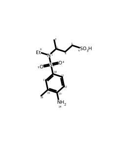 CCN(C(C)CCS(=O)(=O)O)S(=O)(=O)c1ccc(N)c(C)c1